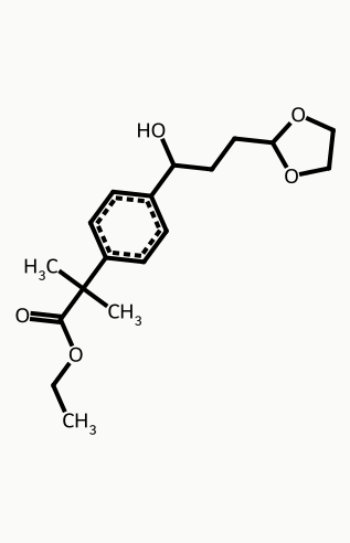 CCOC(=O)C(C)(C)c1ccc(C(O)CCC2OCCO2)cc1